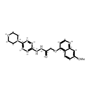 COc1ccc2c(OCC(=O)NNc3nnc(N4CCOCC4)nn3)ccnc2c1